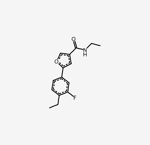 CCNC(=O)c1coc(-c2ccc(CC)c(F)c2)c1